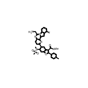 CNC(=O)c1c(-c2ccc(C)cc2)oc2cc(N(C)S(C)(=O)=O)c(-c3ccc4nc(CN)n5c6cccc(F)c6cc5c4n3)cc12